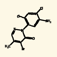 Cc1cnn(-c2cc(N)c(Cl)cc2Cl)c(=O)c1Br